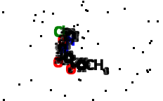 Cc1ccc(C(=O)c2ccc(N3CC[C@H](Oc4ncccc4Cl)C3)c(C=O)c2)cc1